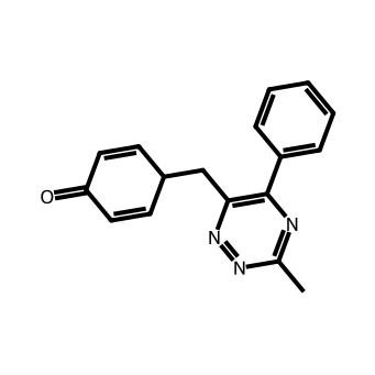 Cc1nnc(CC2C=CC(=O)C=C2)c(-c2ccccc2)n1